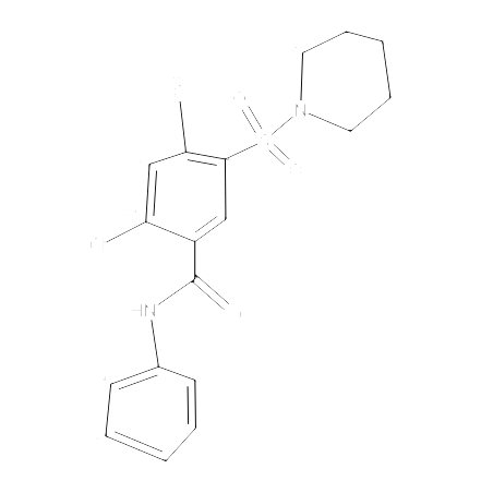 O=C(Nc1ccccc1)c1cc(S(=O)(=O)N2CCCCC2)c(Cl)cc1Cl